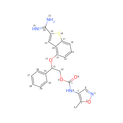 Cc1oncc1NC(=O)OCC(Oc1cccc2sc(C(=N)N)cc12)c1ccccc1